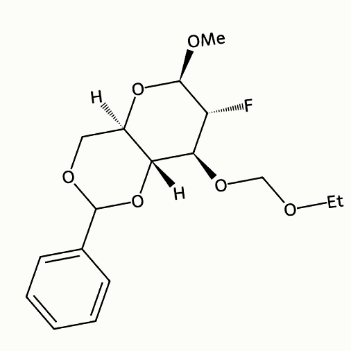 CCOCO[C@@H]1[C@@H](F)[C@H](OC)O[C@@H]2COC(c3ccccc3)O[C@@H]12